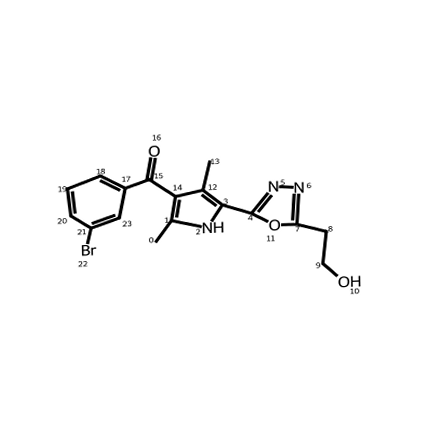 Cc1[nH]c(-c2nnc(CCO)o2)c(C)c1C(=O)c1cccc(Br)c1